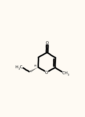 CC[C@@H]1CC(=O)C=C(C)O1